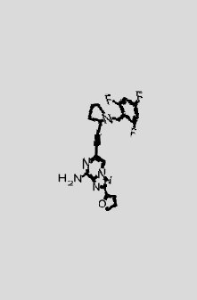 Nc1nc(C#CC2CCCN2Cc2c(F)cc(F)cc2F)cn2nc(-c3ccco3)nc12